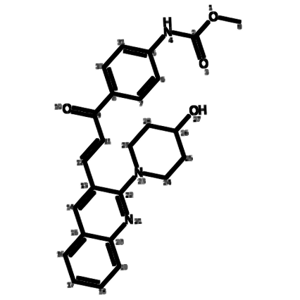 COC(=O)Nc1ccc(C(=O)C=Cc2cc3ccccc3nc2N2CCC(O)CC2)cc1